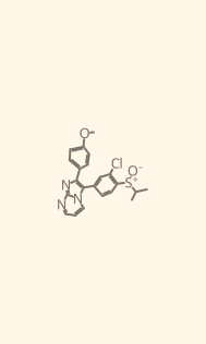 COc1ccc(-c2nc3ncccn3c2-c2ccc([S+]([O-])C(C)C)c(Cl)c2)cc1